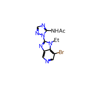 CCn1c(-n2ncnc2NC(C)=O)nc2cncc(Br)c21